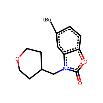 CC(C)(C)c1ccc2oc(=O)n(CC3CCOCC3)c2c1